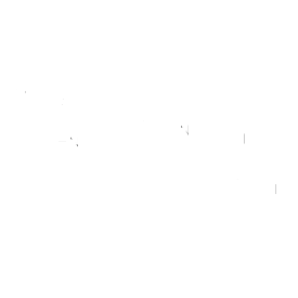 Cc1cc(C(F)(F)F)nc2ccc(=O)[nH]c12